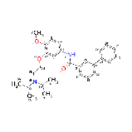 COc1ccc(NC(=O)c2cccc(-c3ccccc3)c2)cc1OCCN(C(C)C)C(C)C